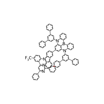 FC(F)(F)c1ccc(-n2c3ccccc3c3cc(-c4cc5c6c(c4)N(c4cc(-c7ccccc7)cc(-c7ccccc7)c4)c4ccccc4B6c4ccccc4N5c4cc(-c5ccccc5)cc(-c5ccccc5)c4)ccc32)c(-c2cc(-c3ccccc3)nc(-c3ccccc3)n2)c1